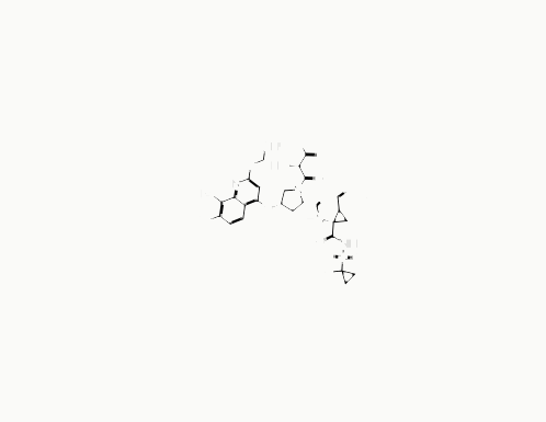 C=CC1C[C@]1(NC(=O)[C@@H]1C[C@@H](Oc2cc(OCC)nc3c(Br)c(OC)ccc23)CN1C(=O)[C@@H](O)C(=C)C)C(=O)NS(=O)(=O)C1(C)CC1